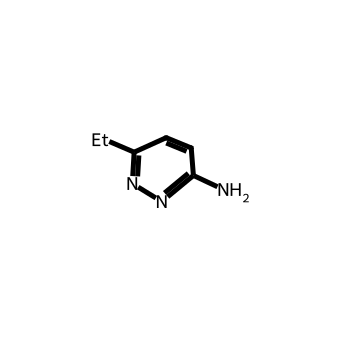 CCc1ccc(N)nn1